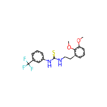 COc1cccc(CCNC(=S)Nc2cccc(C(F)(F)F)c2)c1OC